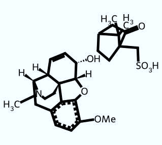 CC1(C)C2CCC1(CS(=O)(=O)O)C(=O)C2.COc1ccc2c3c1O[C@H]1[C@@H](O)C=C[C@H]4[C@@H](C2)N(C)CC[C@@]341